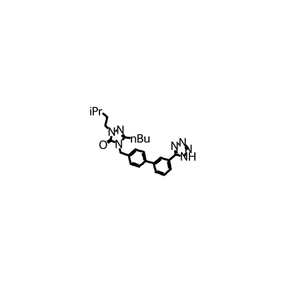 CCCCc1nn(CCC(C)C)c(=O)n1Cc1ccc(-c2cccc(-c3nnn[nH]3)c2)cc1